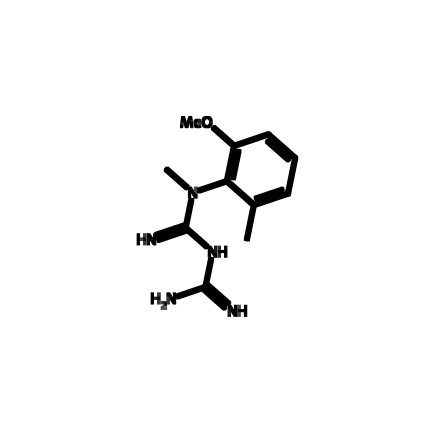 COc1cccc(C)c1N(C)C(=N)NC(=N)N